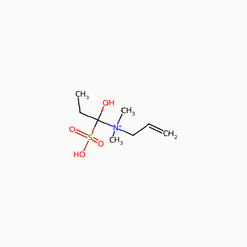 C=CC[N+](C)(C)C(O)(CC)S(=O)(=O)O